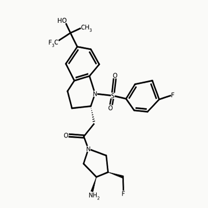 CC(O)(c1ccc2c(c1)CC[C@@H](CC(=O)N1C[C@@H](CF)[C@@H](N)C1)N2S(=O)(=O)c1ccc(F)cc1)C(F)(F)F